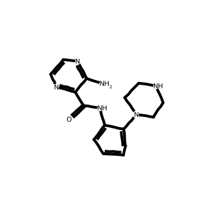 Nc1nccnc1C(=O)Nc1ccccc1N1CCNCC1